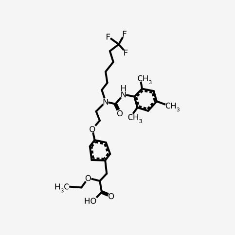 CCOC(Cc1ccc(OCCN(CCCCCC(F)(F)F)C(=O)Nc2c(C)cc(C)cc2C)cc1)C(=O)O